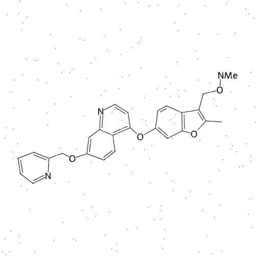 CNOCc1c(C)oc2cc(Oc3ccnc4cc(OCc5ccccn5)ccc34)ccc12